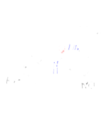 O=C(NCc1ccc(C(F)(F)F)cc1)c1cc([N+](=O)[O-])ccc1NC1CCCC1